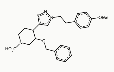 COc1ccc(CCn2cc(C3CCN(C(=O)O)CC3OCc3ccccc3)nn2)cc1